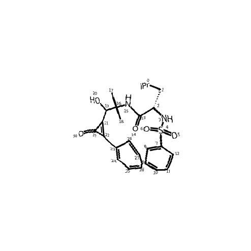 CC(C)C[C@H](NS(=O)(=O)c1ccccc1)C(=O)NC(C)(C)C(O)c1c(-c2ccccc2)c1=O